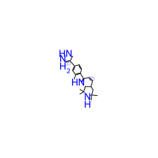 Cc1cc(/C(C=N)=C/N)ccc1C(=N)/C=C\C1CC(C)(C)NC(C)(C)C1